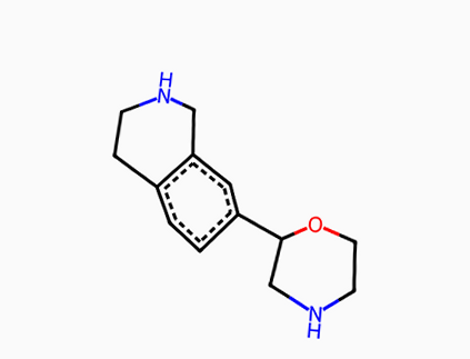 c1cc2c(cc1C1CNCCO1)CNCC2